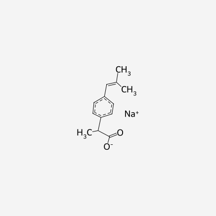 CC(C)=Cc1ccc(C(C)C(=O)[O-])cc1.[Na+]